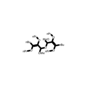 CCCCC(OCCC)=C(OCCC)C(OC)OC(OC)C(OCCC)=C(CCCC)OCCC